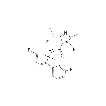 Cn1nc(C(F)F)c(C(=O)NC2(F)CC(F)=CC=C2c2cccc(F)c2)c1F